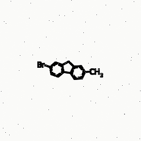 Cc1ccc2c(c1)Cc1cc(Br)ccc1-2